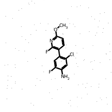 COc1ccc(-c2cc(F)c(N)cc2Cl)c(F)n1